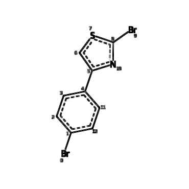 Brc1ccc(-c2csc(Br)n2)cc1